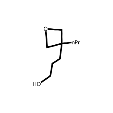 CCCC1(CCCO)COC1